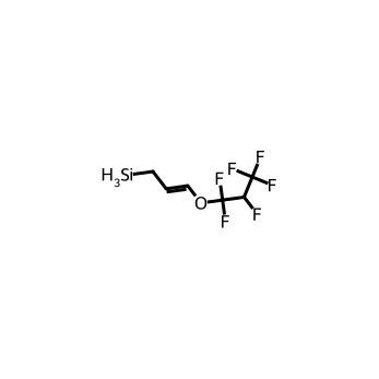 FC(C(F)(F)F)C(F)(F)OC=CC[SiH3]